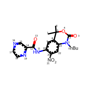 CCCCN1C(=O)OC(C)(C)c2cc(NC(=O)c3cnccn3)c([N+](=O)[O-])cc21